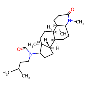 CC(C)CCN(C=O)C1CC[C@H]2[C@@H]3CCC4N(C)C(=O)CC[C@]4(C)[C@@H]3CC[C@]12C